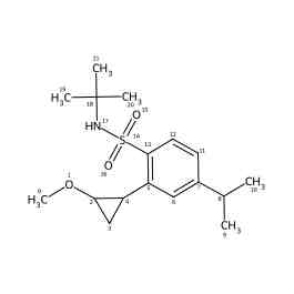 COC1CC1c1cc(C(C)C)ccc1S(=O)(=O)NC(C)(C)C